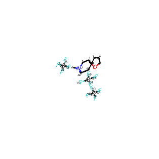 CN1CCC2(CCCO2)CC1.F[B-](F)(F)F.F[B-](F)(F)F.F[B-](F)(F)F